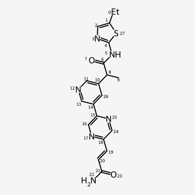 CCc1cnc(NC(=O)C(C)c2cncc(-c3cnc(C=CC(N)=O)cn3)c2)s1